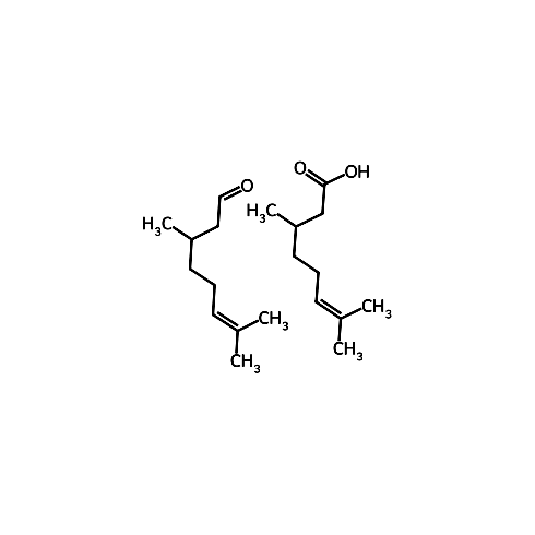 CC(C)=CCCC(C)CC(=O)O.CC(C)=CCCC(C)CC=O